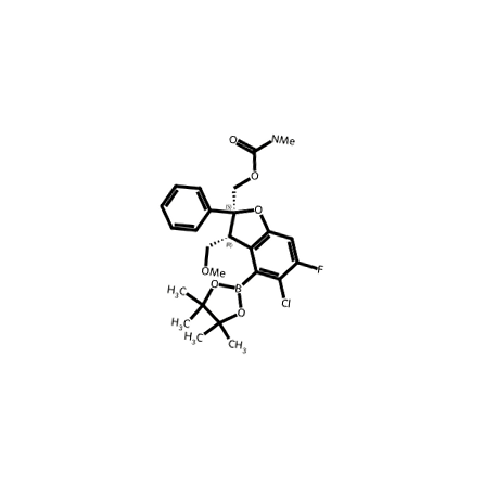 CNC(=O)OC[C@]1(c2ccccc2)Oc2cc(F)c(Cl)c(B3OC(C)(C)C(C)(C)O3)c2[C@@H]1COC